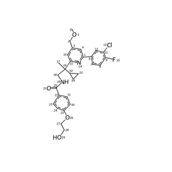 COCc1cc(-c2ccc(F)c(Cl)c2)nc(C(C)(CNC(=O)c2ccc(OCCO)cc2)C2CC2)c1